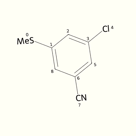 CSc1cc(Cl)cc(C#N)c1